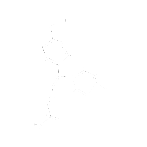 CCCOc1ccc(C(=CC=CC(N)=O)c2ccc(C(F)(F)F)cc2)cc1